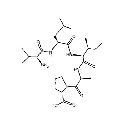 CC[C@H](C)[C@H](NC(=O)[C@H](CC(C)C)NC(=O)[C@@H](N)C(C)C)C(=O)N[C@@H](C)C(=O)N1CCC[C@H]1C(=O)O